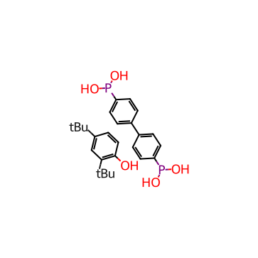 CC(C)(C)c1ccc(O)c(C(C)(C)C)c1.OP(O)c1ccc(-c2ccc(P(O)O)cc2)cc1